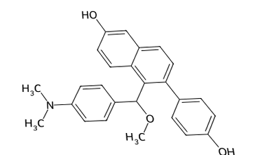 COC(c1ccc(N(C)C)cc1)c1c(-c2ccc(O)cc2)ccc2cc(O)ccc12